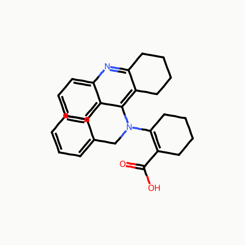 O=C(O)C1=C(N(Cc2ccccc2)c2c3c(nc4ccccc24)CCCC3)CCCC1